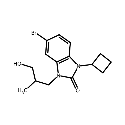 CC(CO)Cn1c(=O)n(C2CCC2)c2ccc(Br)cc21